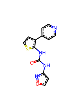 O=C(Nc1ccon1)Nc1sccc1-c1ccncc1